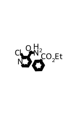 CCOC(=O)c1ccccc1.NC(=O)c1cccnc1Cl